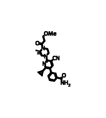 COCCC(=O)N1CCN(c2nc(C3CC3)c(-c3cccc(C(N)=O)c3)cc2C#N)C[C@H]1C